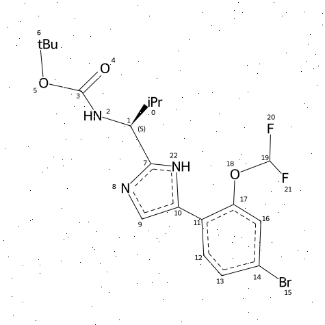 CC(C)[C@H](NC(=O)OC(C)(C)C)c1ncc(-c2ccc(Br)cc2OC(F)F)[nH]1